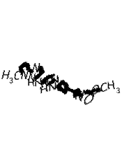 CCOC(=O)Cn1cc(-c2ccc(Nc3nccc(Nc4ccnc(-c5cccc(C)n5)n4)n3)cc2)cn1